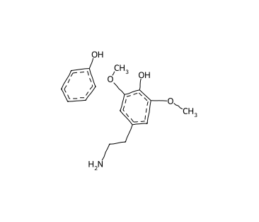 COc1cc(CCN)cc(OC)c1O.Oc1ccccc1